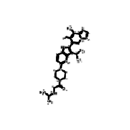 Cc1c(-c2[nH]c3ccc(N4CCN(C(=O)CNC(C)C)CC4)nc3c2C(C)C)cn2ncnc2c1C